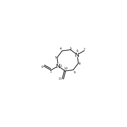 C=CN1CCCN(C)CCC1=C